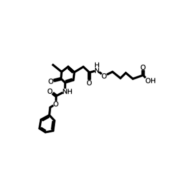 CC1C=C(CC(=O)NOCCCCC(=O)O)C=C(NC(=O)OCc2ccccc2)C1=O